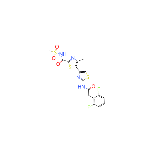 Cc1nc(C(=O)NS(C)(=O)=O)sc1-c1csc(NC(=O)Cc2c(F)cccc2F)n1